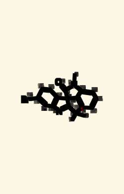 CN1C(=O)C2(C(C(C)(C)C)=Nc3cc(Br)ccc32)c2ccccc21